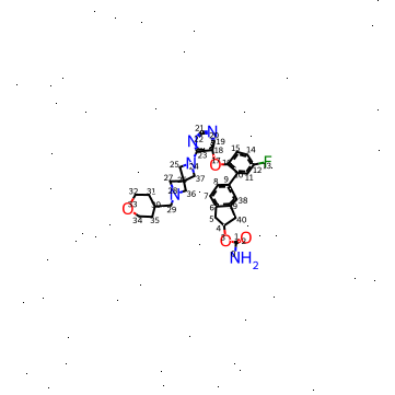 NC(=O)OC1Cc2ccc(-c3cc(F)ccc3Oc3cncnc3N3CC4(CN(CC5CCOCC5)C4)C3)cc2C1